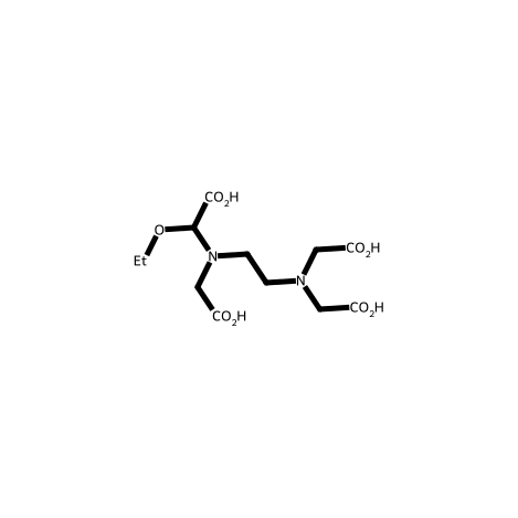 CCOC(C(=O)O)N(CCN(CC(=O)O)CC(=O)O)CC(=O)O